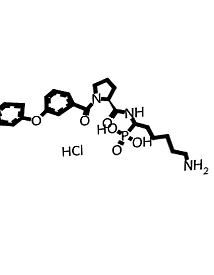 Cl.NCCCCCC(NC(=O)[C@@H]1CCCN1C(=O)c1cccc(Oc2ccccc2)c1)P(=O)(O)O